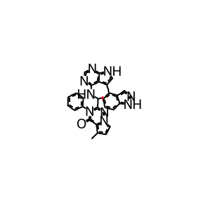 Cc1ccn2nc(C(C)Nc3ncnc4[nH]cc(-c5cccc6[nH]ncc56)c34)n(-c3ccccc3)c(=O)c12